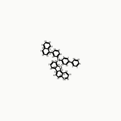 c1ccc(-c2ccc(N(c3cccc(-c4cccc5ccccc45)c3)c3cccc4c3oc3c5cccnc5ccc43)cc2)cc1